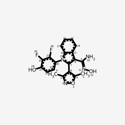 Cc1noc(C)c1-c1c(/C(N)=N/O)c2ccccc2n1-c1ccc(O)c(F)c1F